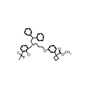 COC(=O)C1(c2cccc(OCCCN(Cc3cccc(C(F)(F)F)c3Cl)CC(c3ccccc3)c3ccccc3)c2)CCC1